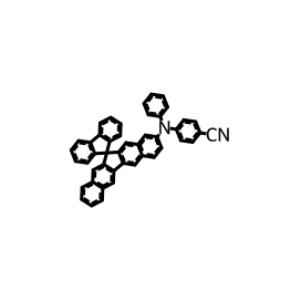 N#Cc1ccc(N(c2ccccc2)c2ccc3cc4c(cc3c2)C2(c3ccccc3-c3ccccc32)c2cc3ccccc3cc2-4)cc1